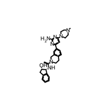 C=C(N[C@@H]1c2ccccc2C[C@@H]1O)N1CCc2ccc(-c3cc(N4CCN(C)CC4)nc(N)n3)cc2C1